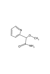 COC(C(N)=O)c1ccccn1